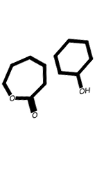 O=C1CCCCCO1.OC1CCCCC1